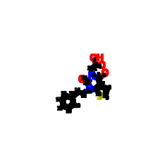 O=C(O)Cn1c(=O)c2ccsc2n(CCc2ccccc2)c1=O